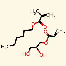 C=C(C)C(=O)OCCCCCC.C=CC(=O)OCC(O)CO